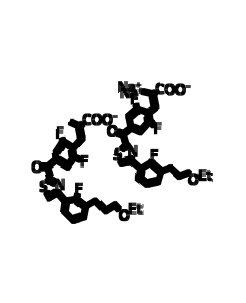 CCOCCCc1cccc(-c2csc(C(=O)c3cc(F)c(C=C(C)C(=O)[O-])c(F)c3)n2)c1F.CCOCCCc1cccc(-c2csc(C(=O)c3cc(F)c(C=C(C)C(=O)[O-])c(F)c3)n2)c1F.[Na+].[Na+]